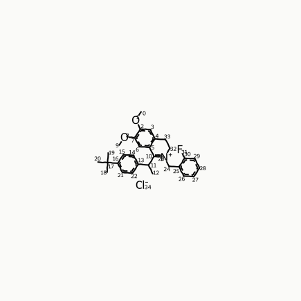 COc1cc2c(cc1OC)C(C(C)c1ccc(C(C)(C)C)cc1)=[N+](Cc1ccccc1F)CC2.[Cl-]